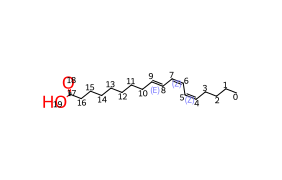 CCCC\C=C/C=C\C=C\CCCCCCCC(=O)O